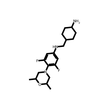 CC1CN(c2c(F)cc(NCC3CCC(N)CC3)cc2F)CC(C)O1